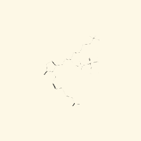 CC(C)(C)[Si](C)(C)OC(CCCCC(F)(F)F)CCC1=CCC(=O)[C@@H]1C/C=C\CCCC(=O)O